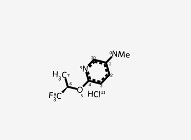 CNc1ccc(O[C@H](C)C(F)(F)F)nc1.Cl